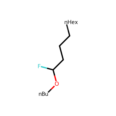 CCCCCCCCCC(F)OCCCC